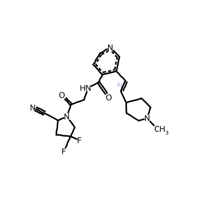 CN1CCC(/C=C/c2cnccc2C(=O)NCC(=O)N2CC(F)(F)CC2C#N)CC1